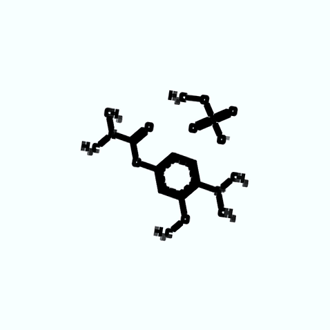 COS(=O)(=O)[O-].COc1cc(OC(=O)N(C)C)ccc1[S+](C)C